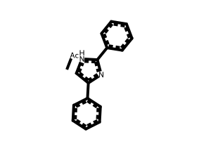 CC(C)=O.c1ccc(-c2c[nH]c(-c3ccccc3)n2)cc1